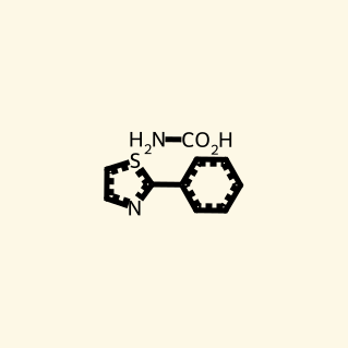 NC(=O)O.c1ccc(-c2nccs2)cc1